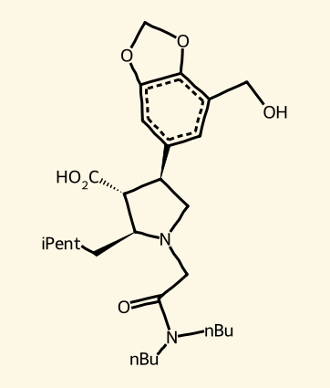 CCCCN(CCCC)C(=O)CN1C[C@H](c2cc(CO)c3c(c2)OCO3)[C@@H](C(=O)O)[C@@H]1CC(C)CCC